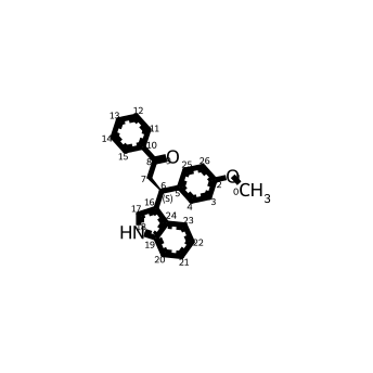 COc1ccc([C@H](CC(=O)c2ccccc2)c2c[nH]c3ccccc23)cc1